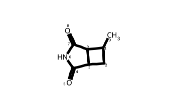 CC1CC2C(=O)NC(=O)C12